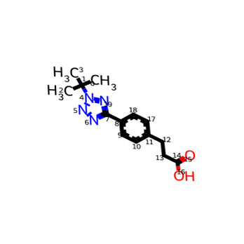 CC(C)(C)n1nnc(-c2ccc(CCC(=O)O)cc2)n1